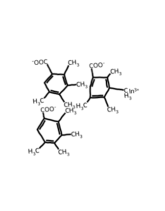 Cc1cc(C(=O)[O-])c(C)c(C)c1C.Cc1cc(C(=O)[O-])c(C)c(C)c1C.Cc1cc(C(=O)[O-])c(C)c(C)c1C.[In+3]